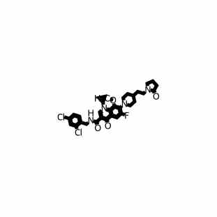 COc1c(N2CCC(CCN3CCCC3=O)CC2)c(F)cc2c(=O)c(C(=O)NCc3ccc(Cl)cc3Cl)cn(C3CC3)c12